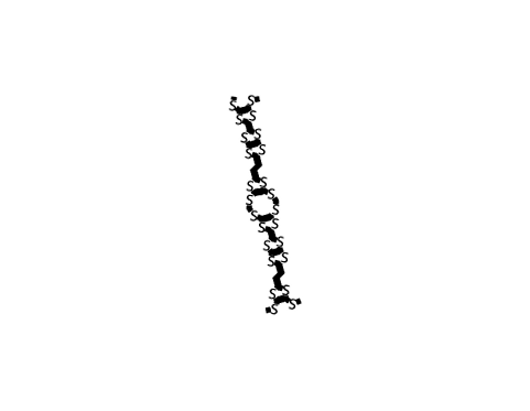 CSC1=C(SC)SC(=CC=C2SC3=C(S2)SC(=C2SC4=C(SCSC5=C(SCS4)SC(=CC=C4SC6=C(S4)SC(=C4SC(SC)=C(SC)S4)S6)S5)S2)S3)S1